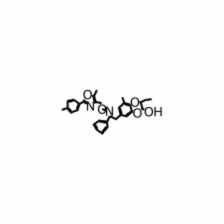 CCC(Oc1ccc(CC(=NOCc2nc(-c3ccc(C)cc3)oc2C)c2ccccc2)cc1C)C(=O)O